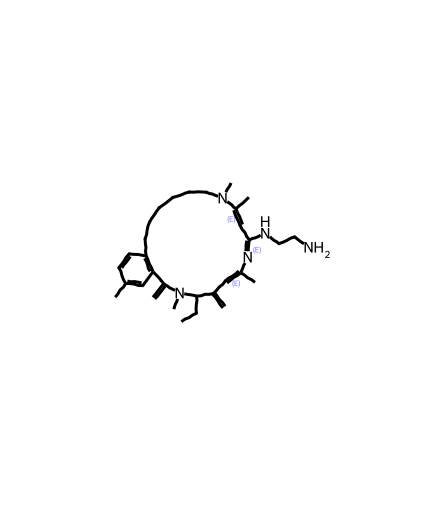 C=C1/C=C(C)/N=C(NCCN)\C=C(/C)N(C)CCCCCCc2ccc(C)cc2C(=C)N(C)C1CC